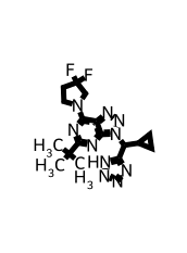 CC(C)(C)c1nc(N2CCC(F)(F)C2)c2nnn(C(c3nnn[nH]3)C3CC3)c2n1